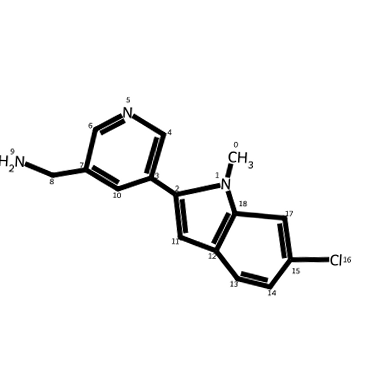 Cn1c(-c2cncc(CN)c2)cc2ccc(Cl)cc21